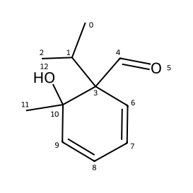 CC(C)C1(C=O)C=CC=CC1(C)O